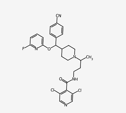 CC(CCNC(=O)c1c(Cl)cncc1Cl)N1CCC(C(Oc2cccc(F)n2)c2ccc(C#N)cc2)CC1